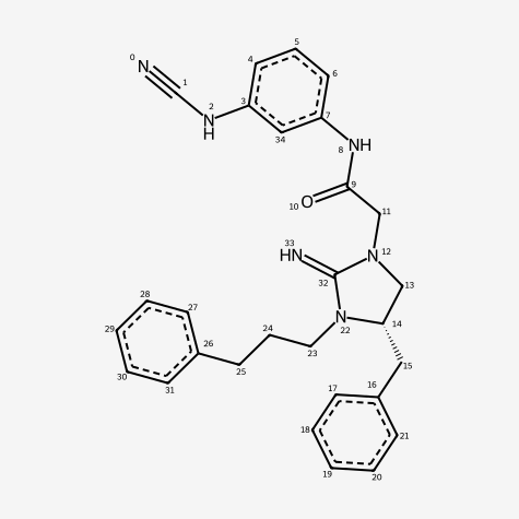 N#CNc1cccc(NC(=O)CN2C[C@H](Cc3ccccc3)N(CCCc3ccccc3)C2=N)c1